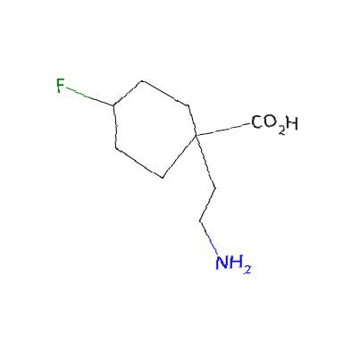 NCCC1(C(=O)O)CCC(F)CC1